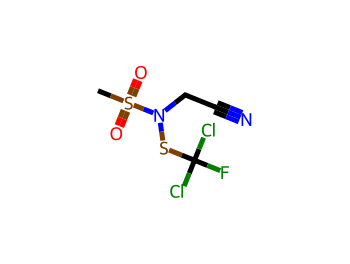 CS(=O)(=O)N(CC#N)SC(F)(Cl)Cl